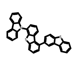 c1ccc2c(c1)sc1ccc(-c3cccc4sc5c(-n6c7ccccc7c7ccccc76)cccc5c34)cc12